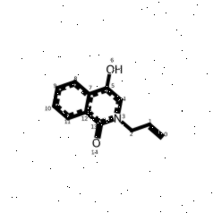 C=CCn1cc(O)c2ccccc2c1=O